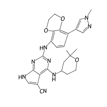 Cn1cc(-c2ccc(Nc3nc(NC4CCOC(C)(C)C4)c4c(C#N)c[nH]c4n3)c3c2OCCO3)cn1